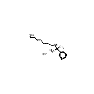 Br.CCCCCCCCCCCCCCCCCNC(C)(C)c1ccccc1